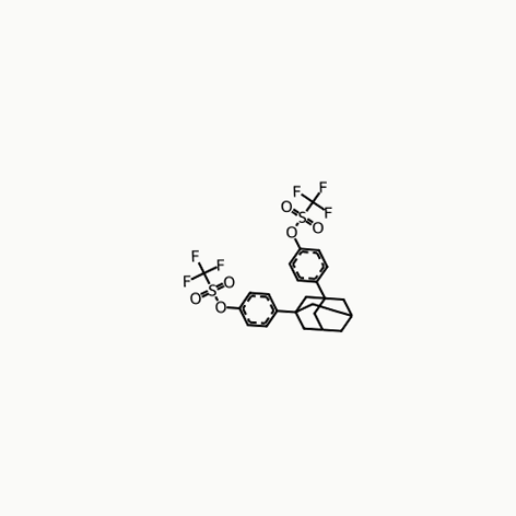 O=S(=O)(Oc1ccc(C23CC4CC(C2)CC(c2ccc(OS(=O)(=O)C(F)(F)F)cc2)(C4)C3)cc1)C(F)(F)F